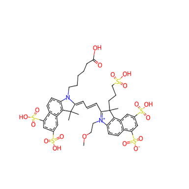 COCC[N+]1=C(/C=C/C=C2/N(CCCCCC(=O)O)c3ccc4c(S(=O)(=O)O)cc(S(=O)(=O)O)cc4c3C2(C)C)C(C)(CCCS(=O)(=O)O)c2c1ccc1c(S(=O)(=O)[O-])cc(S(=O)(=O)O)cc21